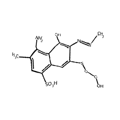 CN=Nc1c(SOOO)cc2c(S(=O)(=O)O)cc(C)c(N)c2c1O